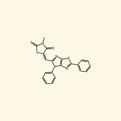 CN1C(=O)/C(=C\c2nc3oc(-c4ccccc4)nc3n2-c2ccccc2)SC1=S